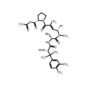 CN[C@H](C(=O)N[C@H](C(=O)N(C)[C@H](/C=C(\C)C(=O)N1CCC[C@H]1C(=O)OC(=O)C(F)(F)F)C(C)C)C(C)(C)C)C(C)(C)c1ccc(C)c(C)c1